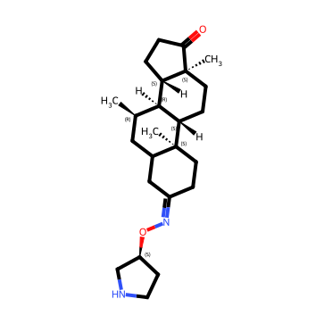 C[C@@H]1CC2CC(=NO[C@H]3CCNC3)CC[C@]2(C)[C@H]2CC[C@]3(C)C(=O)CC[C@H]3[C@H]12